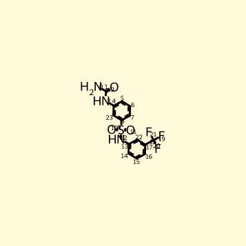 NC(=O)Nc1cccc(S(=O)(=O)Nc2cccc(C(F)(F)F)c2)c1